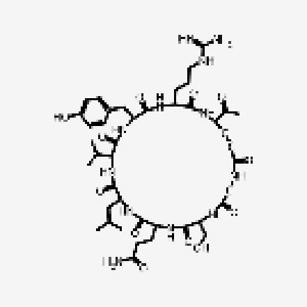 CC(=O)C1CCC(=O)NCC(=O)NC(CO)C(=O)NC(CCC(N)=O)C(=O)NC(CC(C)C)C(=O)NC(C(C)C)C(=O)NC(Cc2ccc(O)cc2)C(=O)NC(CCCNC(=N)N)C(=O)N1